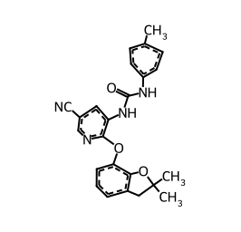 Cc1ccc(NC(=O)Nc2cc(C#N)cnc2Oc2cccc3c2OC(C)(C)C3)cc1